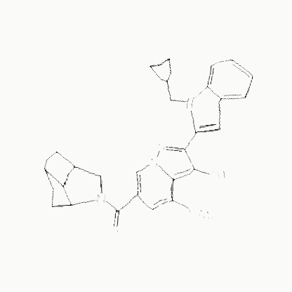 COc1cc(C(=O)N2CC3CC4CC2[C@H]43)cn2nc(-c3cc4ccccc4n3CC3CC3)c(C)c12